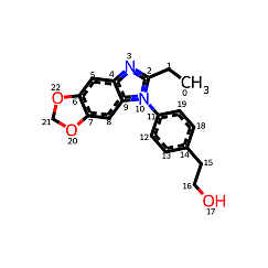 CCc1nc2cc3c(cc2n1-c1ccc(CCO)cc1)OCO3